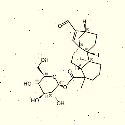 CC1(C(=O)O[C@@H]2O[C@H](CO)[C@@H](O)[C@H](O)[C@H]2O)CCC[C@@]2(C)[C@H]1CC[C@@]13C=C(C=O)[C@H](CC[C@@H]12)C3